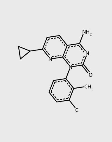 Cc1c(Cl)cccc1-n1c(=O)nc(N)c2ccc(C3CC3)nc21